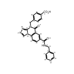 O=C(O)c1ccc(Cn2c(=O)c3cc(C(=O)NCc4ccncc4)ccc3n3cnnc23)cc1